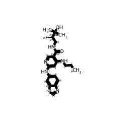 CCCNc1cc(Nc2ccc3ncsc3c2)ncc1C(=O)NC[C@@H](F)C(C)(C)O